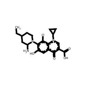 CCC1CCN(c2c(O)cc3c(=O)c(C(=O)O)cn(C4CC4)c3c2Cl)C(N)C1